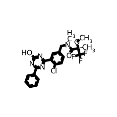 CO[C@](C)(C(=O)N(C)Cc1ccc(Cl)c(-c2nc(O)nc(-c3ccccc3)n2)c1)C(F)(F)F